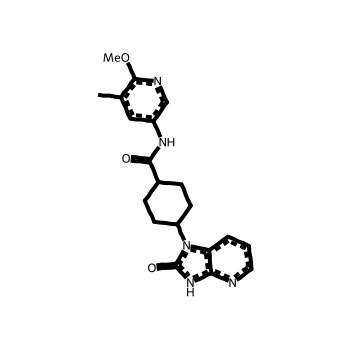 COc1ncc(NC(=O)C2CCC(n3c(=O)[nH]c4ncccc43)CC2)cc1C